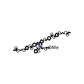 C=CC(=O)OCCCOc1ccc(OC(=O)C2CCC(COc3ccc(OCC4CCC(C(=O)Oc5ccc(OCCCOC(=O)C=C)cc5)CC4)c(/C=N/N(CCOCCOC)C4Nc5ccccc5S4)c3)CC2)cc1